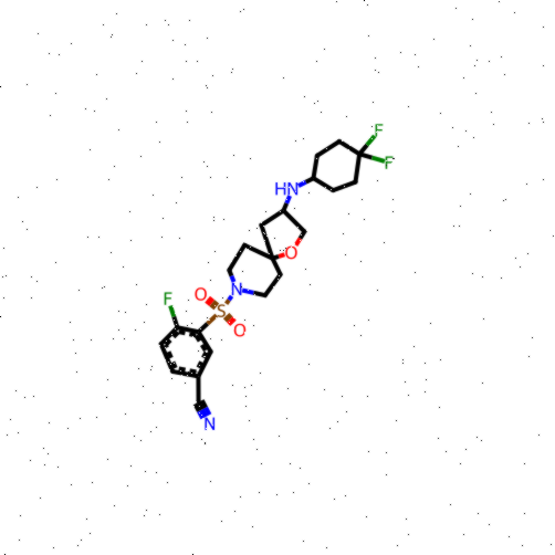 N#Cc1ccc(F)c(S(=O)(=O)N2CCC3(CC2)CC(NC2CCC(F)(F)CC2)CO3)c1